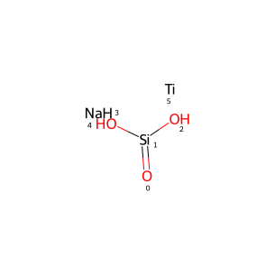 O=[Si](O)O.[NaH].[Ti]